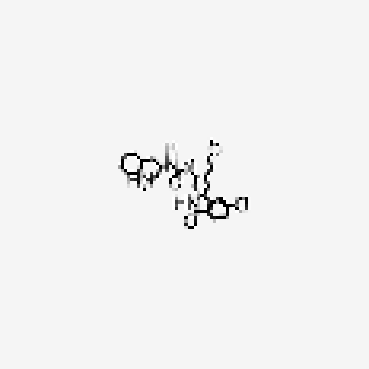 CNCC(CC1CCCCC1)NC(=O)N(C)CC[C@@]1(CCCCOC)NC(=O)c2ccc(Cl)cc21